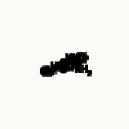 NC(=O)c1ccc(S(=O)(=O)NCCCN2CCOCC2)cc1S(=O)(=O)Nc1ccccc1